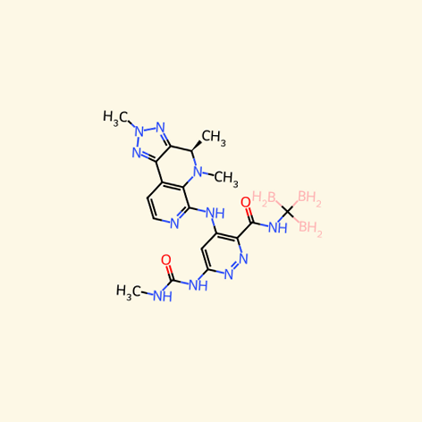 BC(B)(B)NC(=O)c1nnc(NC(=O)NC)cc1Nc1nccc2c1N(C)[C@H](C)c1nn(C)nc1-2